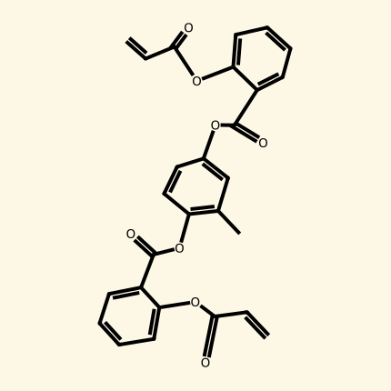 C=CC(=O)Oc1ccccc1C(=O)Oc1ccc(OC(=O)c2ccccc2OC(=O)C=C)c(C)c1